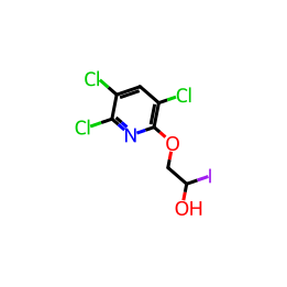 OC(I)COc1nc(Cl)c(Cl)cc1Cl